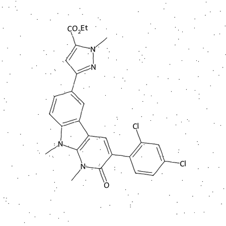 CCOC(=O)c1cc(-c2ccc3c(c2)c2cc(-c4ccc(Cl)cc4Cl)c(=O)n(C)c2n3C)nn1C